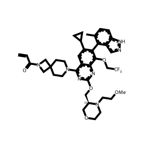 C=CC(=O)N1CC2(CCN(c3nc(OC[C@@H]4COCCN4CCOC)nc4c(OCC(F)(F)F)c(-c5c(C)ccc6[nH]ncc56)c(C5CC5)cc34)CC2)C1